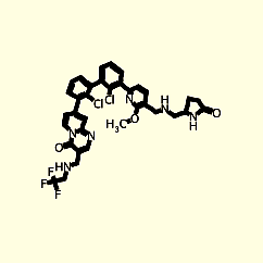 COc1nc(-c2cccc(-c3cccc(-c4ccn5c(=O)c(CNCC(F)(F)F)cnc5c4)c3Cl)c2Cl)ccc1CNCC1CCC(=O)N1